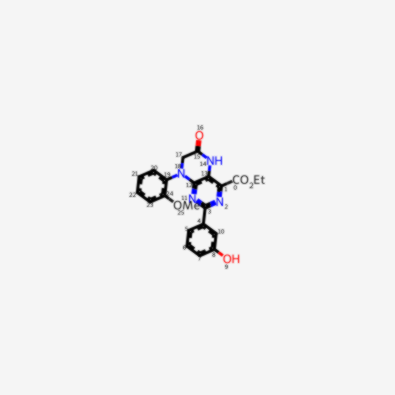 CCOC(=O)c1nc(-c2cccc(O)c2)nc2c1NC(=O)CN2c1ccccc1OC